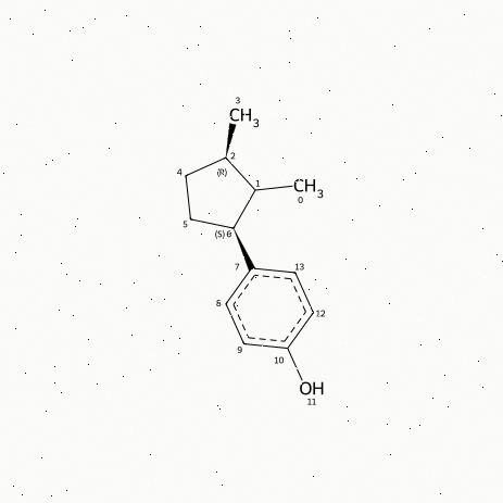 CC1[C@H](C)CC[C@@H]1c1ccc(O)cc1